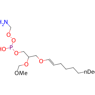 CCCCCCCCCCCCCCC=COCC(COP(O)OOCN)OCOC